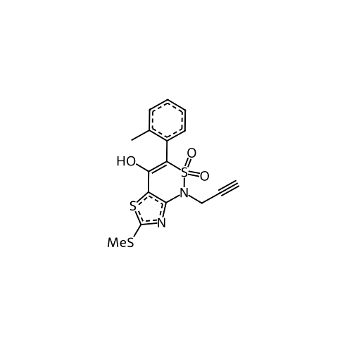 C#CCN1c2nc(SC)sc2C(O)=C(c2ccccc2C)S1(=O)=O